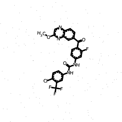 COc1cnc2ccc(C(=O)c3ccc(NC(=O)Nc4ccc(Cl)c(C(F)(F)F)c4)cc3F)cc2n1